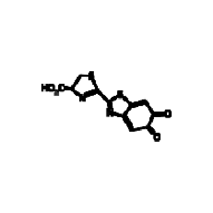 O=C1C=c2nc(C3=N[C@@H](C(=O)O)CS3)sc2=CC1=O